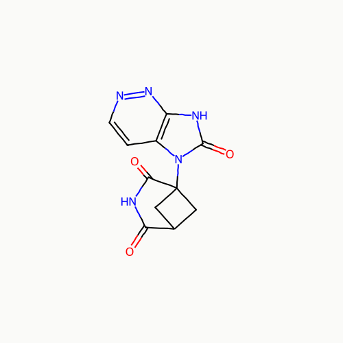 O=C1NC(=O)C2(n3c(=O)[nH]c4nnccc43)CC1C2